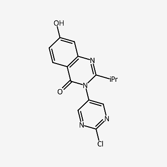 CC(C)c1nc2cc(O)ccc2c(=O)n1-c1cnc(Cl)nc1